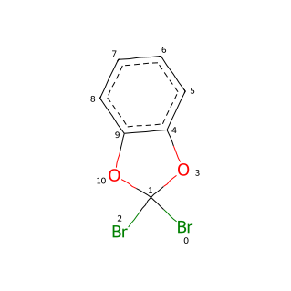 BrC1(Br)Oc2ccccc2O1